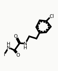 O=C(NI)C(=O)NCCc1ccc(Cl)cc1